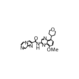 COc1ccc(C2CCOCC2)c2ncc(NC(=O)c3cn4ccncc4n3)nc12